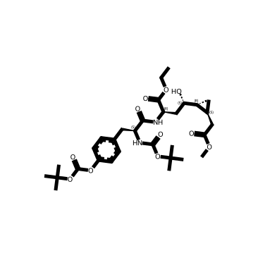 CCOC(=O)[C@@H](C[C@H](O)[C@@H]1C[C@H]1CC(=O)OC)NC(=O)[C@H](Cc1ccc(OC(=O)OC(C)(C)C)cc1)NC(=O)OC(C)(C)C